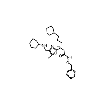 Cc1oc([C@H](CCCC2CCCCC2)CC(=O)NOCc2ccccc2)nc1CNC1CCCCC1